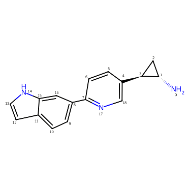 N[C@H]1C[C@@H]1c1ccc(-c2ccc3cc[nH]c3c2)nc1